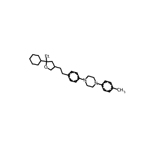 CCC1(C2CCCCC2)CC(CCc2ccc(N3CCN(c4ccc(C)cc4)CC3)cc2)CO1